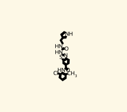 Cc1cccc(Cl)c1NC(=O)c1ccc2nc(NC(=O)NCCc3cc[nH]c3)sc2c1